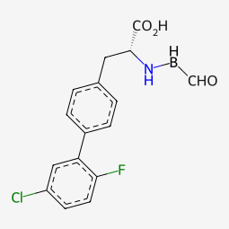 O=CBN[C@H](Cc1ccc(-c2cc(Cl)ccc2F)cc1)C(=O)O